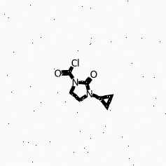 O=C(Cl)N1CCN(C2CC2)C1=O